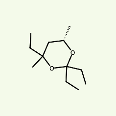 CCC1(C)C[C@H](C)OC(CC)(CC)O1